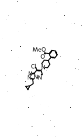 COC(=O)c1ccccc1C1CCN(c2cnn3c(CC4CC4)nnc3c2Cl)CC1